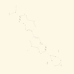 Cc1cc(-c2cc(F)c3nc(C4[C@H]5CN(C)C[C@@H]45)cn3c2)nn2cc(C(F)F)nc12